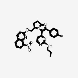 CCCNc1nccc(-c2c(-c3ccc(F)cc3)nc3n2C(COc2ccc4cccc([N+](=O)[O-])c4n2)CC3)n1